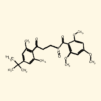 COc1cc(OC)c(C(=O)[PH](=O)CCC(=O)c2c(C)cc(C(C)(C)C)cc2C)c(OC)c1